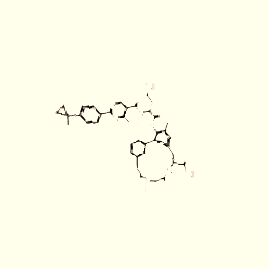 Cc1cc2cc(c1NC(=O)[C@H](CCN)NC(=O)c1cnc(-c3ccc(C4(C)CC4)cc3)nc1C)-c1cccc(c1)CC(=O)NCC(=O)NC(C(N)=O)C2